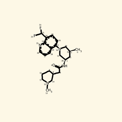 C[C@H]1C[C@@H](NC(=O)CC2CCCN(C)C2)CN(c2ccc(C(F)F)c3ncccc23)C1